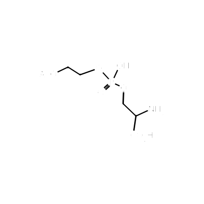 CC(=O)OCCOP(=O)(O)OCC(N)C(=O)O